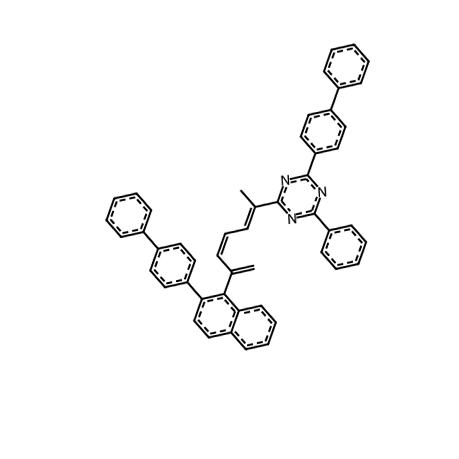 C=C(/C=C\C=C(/C)c1nc(-c2ccccc2)nc(-c2ccc(-c3ccccc3)cc2)n1)c1c(-c2ccc(-c3ccccc3)cc2)ccc2ccccc12